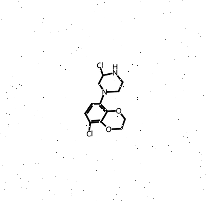 Clc1ccc(N2CCNC(Cl)C2)c2c1OCCO2